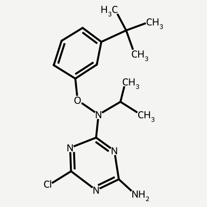 CC(C)N(Oc1cccc(C(C)(C)C)c1)c1nc(N)nc(Cl)n1